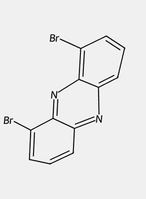 Brc1cccc2nc3cccc(Br)c3nc12